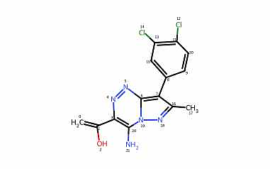 C=C(O)c1nnc2c(-c3ccc(Cl)c(Cl)c3)c(C)nn2c1N